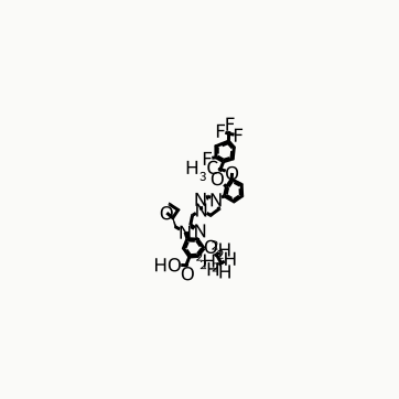 [2H]C([2H])([2H])C([2H])([2H])Oc1cc(C(=O)O)cc2c1nc(CN1CCN(c3cccc4c3O[C@](C)(c3ccc(C(F)(F)F)cc3F)O4)C=N1)n2C[C@@H]1CCO1